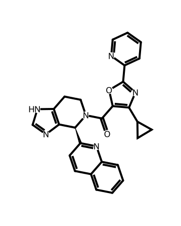 O=C(c1oc(-c2ccccn2)nc1C1CC1)N1CCc2[nH]cnc2[C@@H]1c1ccc2ccccc2n1